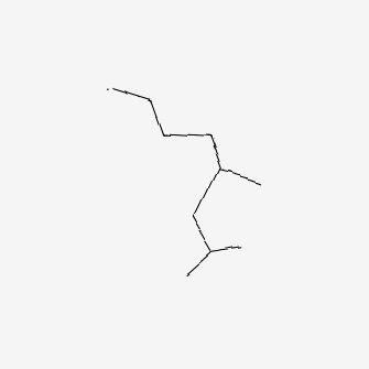 [CH2]CCCC(C)CC(C)C